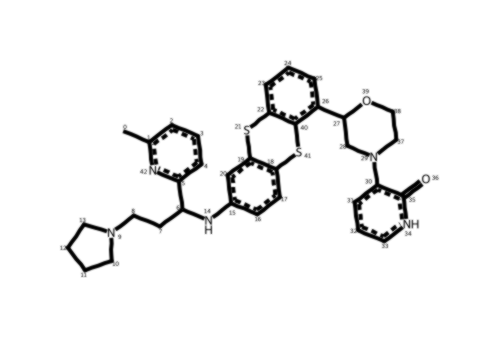 Cc1cccc(C(CCN2CCCC2)Nc2ccc3c(c2)Sc2cccc(C4CN(c5ccc[nH]c5=O)CCO4)c2S3)n1